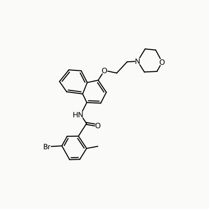 Cc1ccc(Br)cc1C(=O)Nc1ccc(OCCN2CCOCC2)c2ccccc12